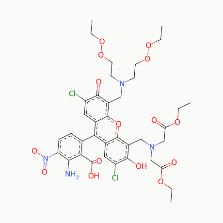 CCOOCCN(CCOOCC)Cc1c2oc3c(CN(CC(=O)OCC)CC(=O)OCC)c(O)c(Cl)cc3c(-c3ccc([N+](=O)[O-])c(N)c3C(=O)O)c-2cc(Cl)c1=O